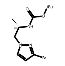 C[C@@H](Cn1ccc(Br)n1)NC(=O)OC(C)(C)C